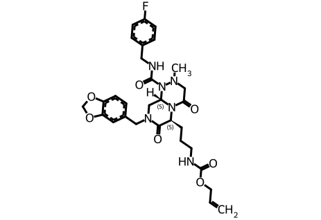 C=CCOC(=O)NCCC[C@H]1C(=O)N(Cc2ccc3c(c2)OCO3)C[C@H]2N1C(=O)CN(C)N2C(=O)NCc1ccc(F)cc1